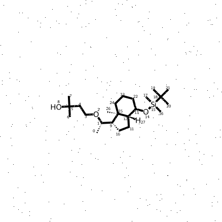 C[C@H](OCCC(C)(C)O)[C@H]1CC[C@H]2C(O[Si](C)(C)C(C)(C)C)CCC[C@]12C